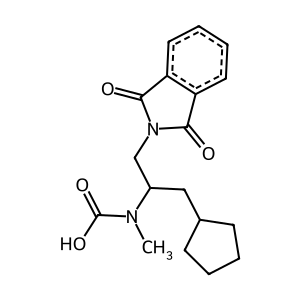 CN(C(=O)O)C(CC1CCCC1)CN1C(=O)c2ccccc2C1=O